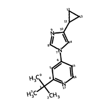 CC(C)(C)c1cc(-n2cnc(C3CC3)c2)ccn1